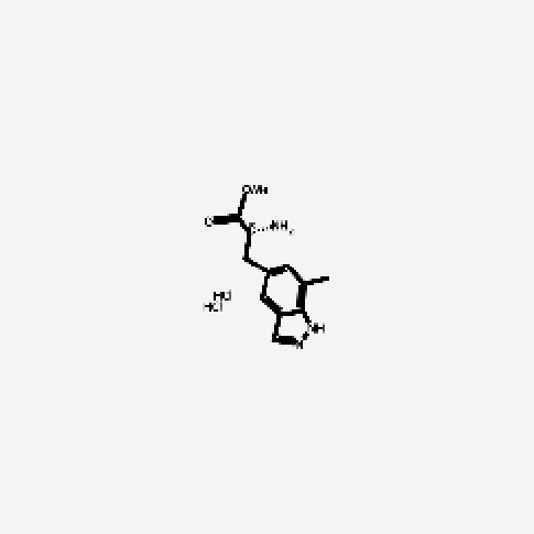 COC(=O)[C@H](N)Cc1cc(C)c2[nH]ncc2c1.Cl.Cl